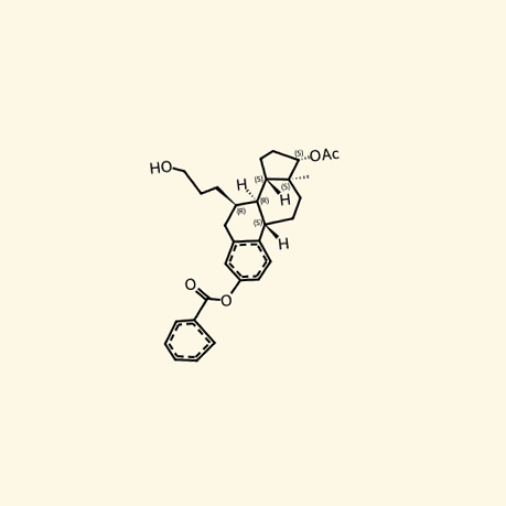 CC(=O)O[C@H]1CC[C@H]2[C@@H]3[C@H](CCCO)Cc4cc(OC(=O)c5ccccc5)ccc4[C@H]3CC[C@]12C